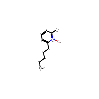 COCCCCc1cccc(C)[n+]1[O-]